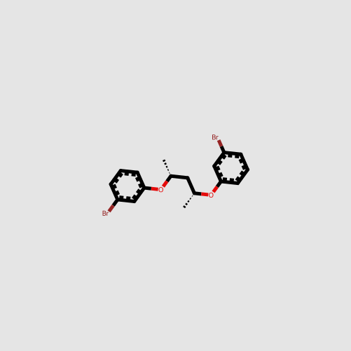 C[C@H](C[C@@H](C)Oc1cccc(Br)c1)Oc1cccc(Br)c1